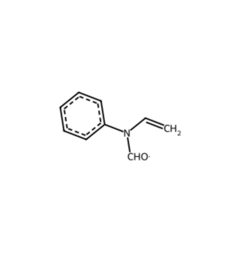 C=CN([C]=O)c1ccccc1